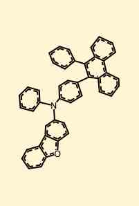 c1ccc(-c2c(-c3ccc(N(c4ccccc4)c4ccc5oc6ccccc6c5c4)cc3)c3ccccc3c3ccccc23)cc1